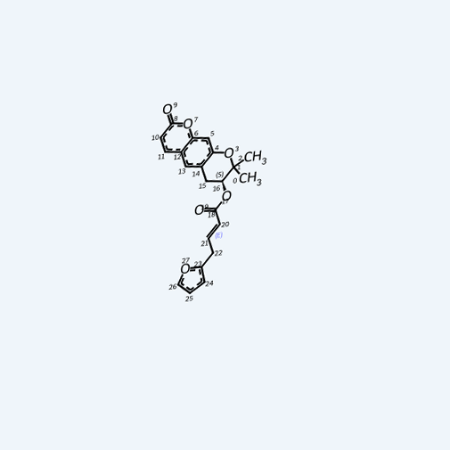 CC1(C)Oc2cc3oc(=O)ccc3cc2C[C@@H]1OC(=O)/C=C/Cc1ccco1